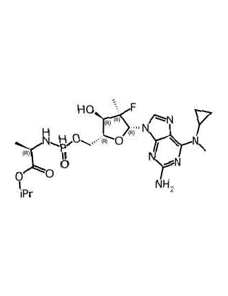 CC(C)OC(=O)[C@@H](C)N[PH](=O)OC[C@H]1O[C@@H](n2cnc3c(N(C)C4CC4)nc(N)nc32)[C@](C)(F)[C@@H]1O